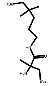 CC(C)(C)CC(C)(C)CCCNC(=O)C(C)(N)CC(C)(C)C